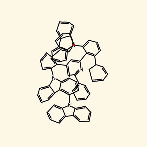 C1=CCC(c2cccc(-n3c4ccccc4c4ccccc43)c2-c2cc(-c3c(C4=CCCC=C4)cccc3-n3c4ccccc4c4c(-n5c6ccccc6c6ccccc65)cccc43)nc(-c3ccccc3)n2)C=C1